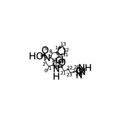 CC1CN(C(=O)O)C(Cc2ccccc2)C(Cl)C1NC(=O)CCCc1c[nH]nn1